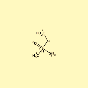 C[SH](=O)([SiH3])CC(=O)O